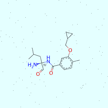 Cc1ccc(C(=O)N[C@](N)(C=O)CC(C)C)cc1OCC1CC1